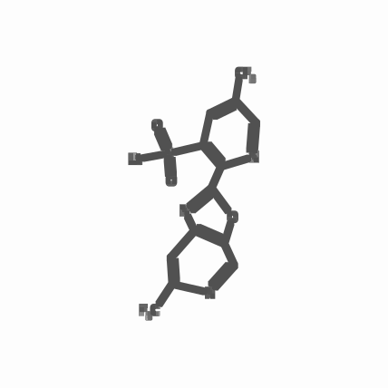 CCS(=O)(=O)c1cc(C(F)(F)F)cnc1-c1nc2cc(C(F)(F)F)ncc2o1